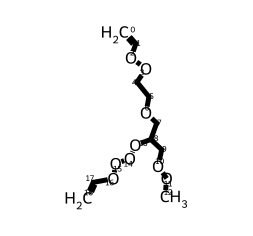 C=COOCCOCC(COOC)OOOOC=C